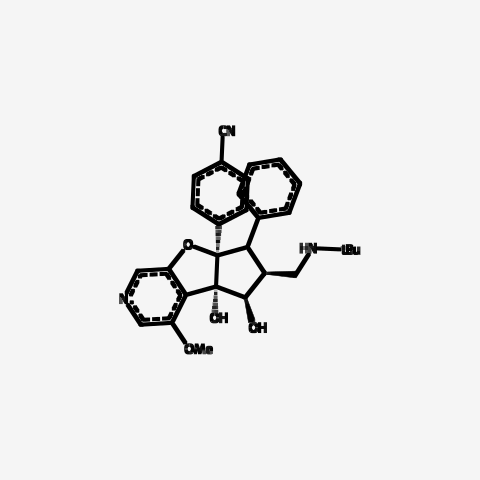 COc1cncc2c1[C@]1(O)[C@H](O)[C@H](CNC(C)(C)C)C(c3ccccc3)[C@]1(c1ccc(C#N)cc1)O2